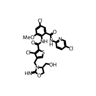 COc1cc(Cl)cc(C(=O)Nc2ccc(Cl)cn2)c1NC(=O)c1scc(CN2C(=N)OCC2CO)c1Cl